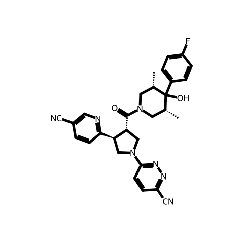 C[C@@H]1CN(C(=O)[C@@H]2CN(c3ccc(C#N)nn3)C[C@H]2c2ccc(C#N)cn2)C[C@H](C)C1(O)c1ccc(F)cc1